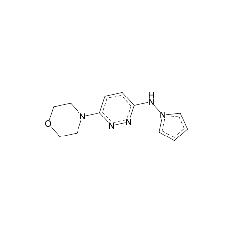 c1ccn(Nc2ccc(N3CCOCC3)nn2)c1